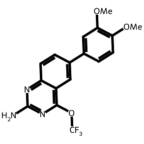 COc1ccc(-c2ccc3nc(N)nc(OC(F)(F)F)c3c2)cc1OC